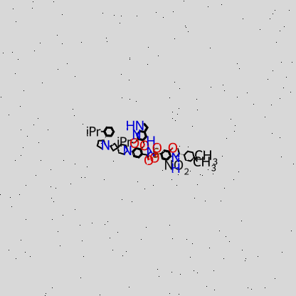 CC(C)Oc1nc2[nH]ccc2cc1Oc1cc(N2CCC3(CC2)CC(N2CCC[C@@H]2c2ccccc2C(C)C)C3)ccc1C(=O)NS(=O)(=O)c1cc2c(c([N+](=O)[O-])c1)N[C@@H](C1CCC(C)(C)CC1)CO2